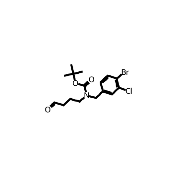 CC(C)(C)OC(=O)N(CCCC=O)Cc1ccc(Br)c(Cl)c1